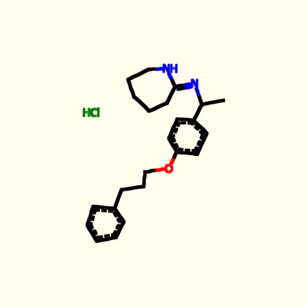 CC(N=C1CCCCCN1)c1ccc(OCCCc2ccccc2)cc1.Cl